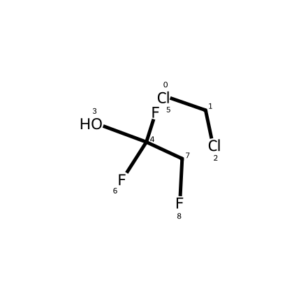 ClCCl.OC(F)(F)CF